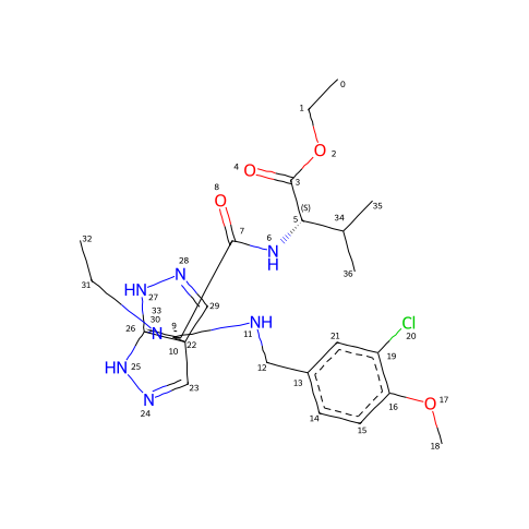 CCOC(=O)[C@@H](NC(=O)C1=C(NCc2ccc(OC)c(Cl)c2)C23C=NNC2(NN=C3)N(CC)C1)C(C)C